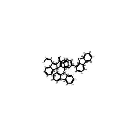 C=C(C1=C(/C=C\C)c2ccccc2C12c1ccccc1-n1c3ccccc3c3cccc2c31)c1ccc(-c2cccc3c2oc2ccccc23)cc1